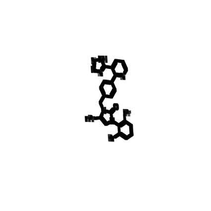 CCCc1cn(-c2c(Br)cccc2C(C)C)c(=O)n1Cc1ccc(-c2ncccc2-c2nnn[nH]2)cc1